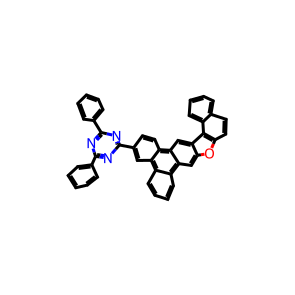 c1ccc(-c2nc(-c3ccccc3)nc(-c3ccc4c(c3)c3ccccc3c3cc5oc6ccc7ccccc7c6c5cc43)n2)cc1